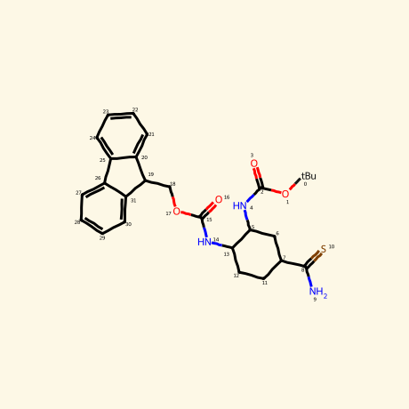 CC(C)(C)OC(=O)NC1CC(C(N)=S)CCC1NC(=O)OCC1c2ccccc2-c2ccccc21